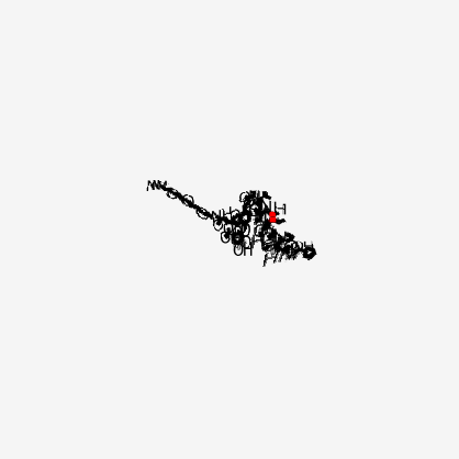 CC[C@H](C)[C@@H]([C@@H](CC(=O)N1CCC[C@H]1[C@H](OC)[C@@H](C)C(=O)N[C@H](C)[C@@H](O)c1ccccc1)OC)N(C)C(=O)[C@@H](NC(=O)[C@H](C(C)C)N(C)C(=O)OCc1ccc(O[C@@H]2O[C@H](C(=O)O)C[C@H](O)[C@H]2O)c2cc(CCC(=O)NCCOCCOCCOCCN=[N+]=[N-])oc12)C(C)C